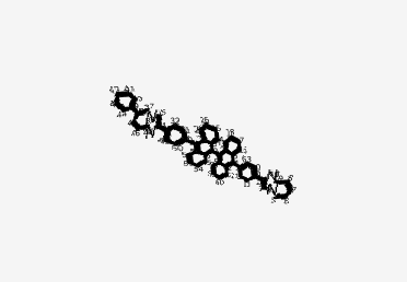 C1=C(c2cn3ccccc3n2)CCC(c2c3ccccc3c(-c3c4ccccc4c(-c4ccc(-c5cn6cc(-c7ccccc7)ccc6n5)cc4)c4ccccc34)c3ccccc23)=C1